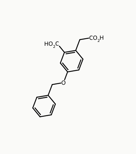 O=C(O)Cc1ccc(OCc2ccccc2)cc1C(=O)O